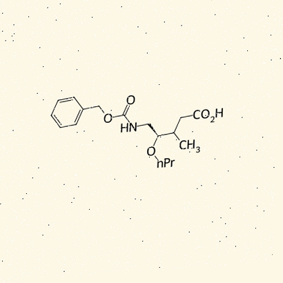 CCCO[C@@H](CNC(=O)OCc1ccccc1)C(C)CC(=O)O